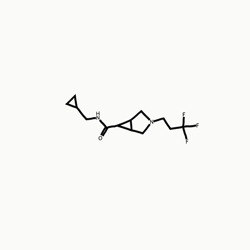 O=C(NCC1CC1)C1C2CN(CCC(F)(F)F)CC21